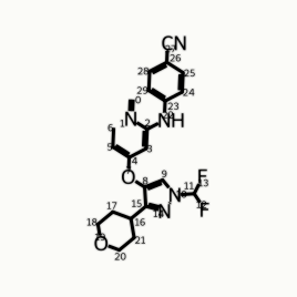 C=N/C(=C\C(=C/C)Oc1cn(C(F)F)nc1C1CCOCC1)Nc1ccc(C#N)cc1